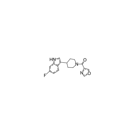 O=C(c1cocn1)N1CCC(c2c[nH]c3cc(F)ccc23)CC1